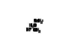 F.O.O.[SnH2]